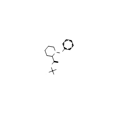 CC(C)(C)OC(=O)C1CCCCN1Oc1c[c]ccc1